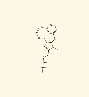 CC(=O)OCc1nc(CO[Si](C)(C)C(C)(C)C)n(C)c1Sc1cccc(Cl)c1